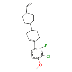 C=CC1CCC(C2CC=C(c3ccc(OC)c(Cl)c3F)CC2)CC1